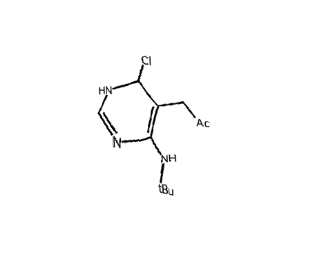 CC(=O)CC1=C(NC(C)(C)C)N=CNC1Cl